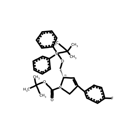 CC(C)(C)OC(=O)N1CC(c2ccc(F)cc2)=C[C@H]1CO[Si](c1ccccc1)(c1ccccc1)C(C)(C)C